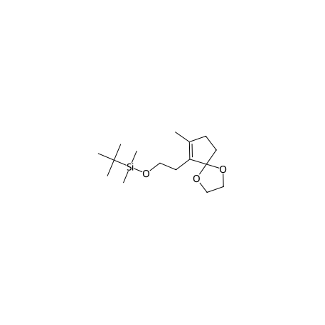 CC1=C(CCO[Si](C)(C)C(C)(C)C)C2(CC1)OCCO2